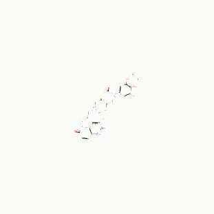 O=C1OC2CN(CC3Cn4c(=O)ccc5ncc(F)c3c54)CCC2CN1c1ccc2c(c1)OCCO2